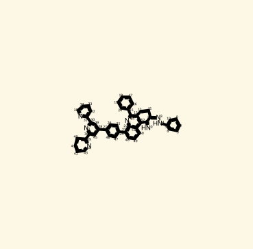 N=C1/C(=N\Nc2ccccc2)C=Cc2c(-c3ccccc3)nc3c(-c4ccc(-c5cc(-c6ccccn6)nc(-c6ccccn6)c5)cc4)cccc3c21